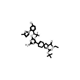 CCOC(=O)C1CC2(CC=C(c3cc(O[C@H](c4ccc(Cl)cc4-n4ccc(C)n4)C(F)(F)F)nc(N)n3)CC2)CN1C(=O)OC(C)(C)C